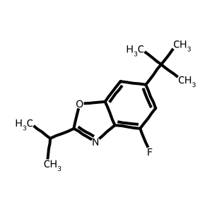 CC(C)c1nc2c(F)cc(C(C)(C)C)cc2o1